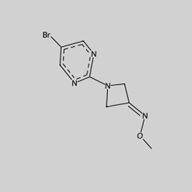 CON=C1CN(c2ncc(Br)cn2)C1